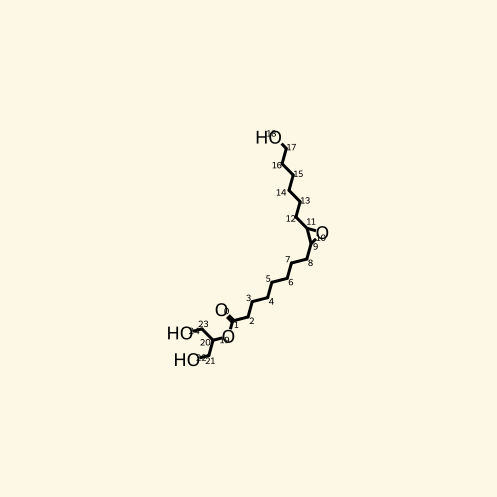 O=C(CCCCCCCC1OC1CCCCCCO)OC(CO)CO